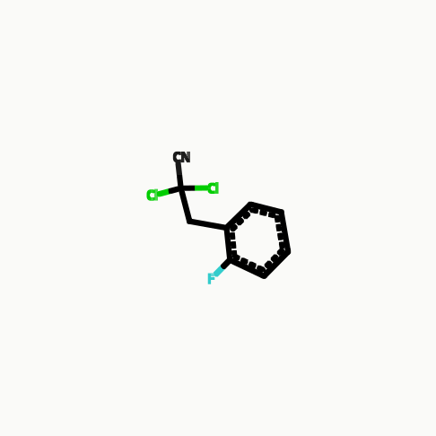 N#CC(Cl)(Cl)Cc1ccccc1F